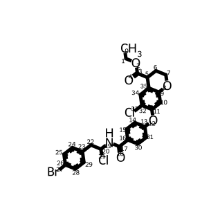 CCOC(=O)C1CCOc2cc(Oc3ccc(C(=O)NC(Cl)Cc4ccc(Br)cc4)cc3)c(Cl)cc21